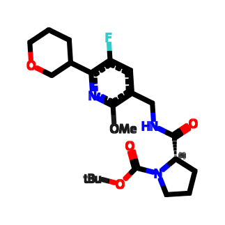 COc1nc(C2CCCOC2)c(F)cc1CNC(=O)[C@@H]1CCCN1C(=O)OC(C)(C)C